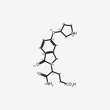 NC(=O)C(CCC(=O)O)N1Cc2cc(OC3CCNC3)ccc2C1=O